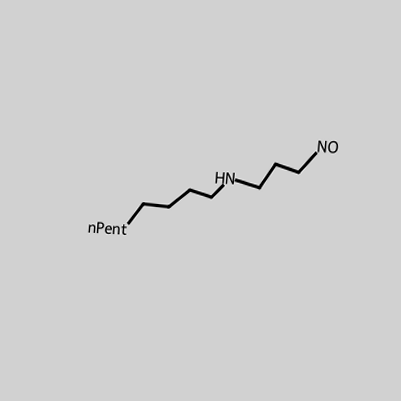 CCCCCCCCCNCCCN=O